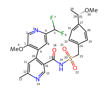 COc1cnc(C(F)F)cc1-c1cc(C)ncc1C(=O)NS(=O)(=O)Cc1ccc([C@H](C)OC)cc1